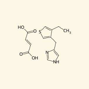 CCc1cscc1Cc1c[nH]cn1.O=C(O)C=CC(=O)O